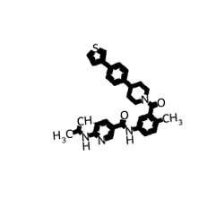 Cc1ccc(NC(=O)c2ccc(NC(C)C)nc2)cc1C(=O)N1CCC(c2ccc(-c3ccsc3)cc2)CC1